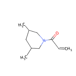 C=CC(=O)N1CC(C)CC(C)C1